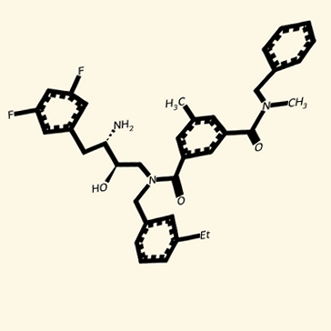 CCc1cccc(CN(C[C@@H](O)[C@@H](N)Cc2cc(F)cc(F)c2)C(=O)c2cc(C)cc(C(=O)N(C)Cc3ccccc3)c2)c1